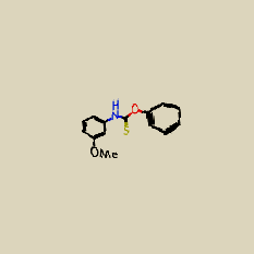 COc1cccc(NC(=S)Oc2ccccc2)c1